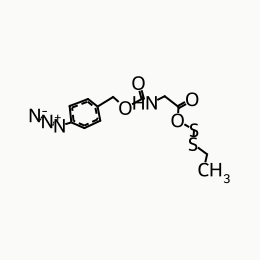 CCSSOC(=O)CNC(=O)OCc1ccc(N=[N+]=[N-])cc1